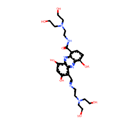 O=C(NCCN(CCO)CCO)c1ccc(O)c2nc3c(C=NCCN(CCO)CCO)c(O)cc(O)c3nc12